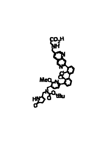 COc1nc(-c2cccc(-c3cccc(-c4cc5ncc(CNCC(=O)O)cc5cn4)c3Cl)c2Cl)ccc1CN(CC1CCC(=O)N1)C(=O)OC(C)(C)C